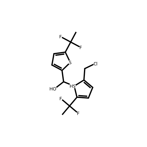 CC(F)(F)C1=CC=C(CCl)[SH]1C(O)c1ccc(C(C)(F)F)s1